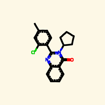 Cc1ccc(-c2nc3ccccc3c(=O)n2C2CCCC2)c(Cl)c1